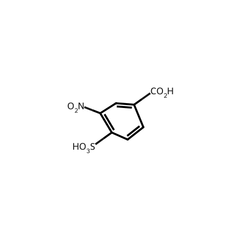 O=C(O)c1ccc(S(=O)(=O)O)c([N+](=O)[O-])c1